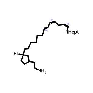 CCCCCCC/C=C\C/C=C\C=C\CCCCCCC1(CC)CCC(CCN)C1